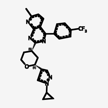 Cc1ccc2c(-c3ccc(C(F)(F)F)cc3)nc([C@H]3CCO[C@@H](c4cnn(C5CC5)c4)C3)nc2n1